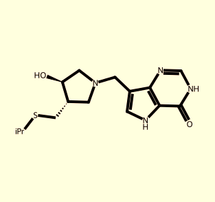 CC(C)SC[C@H]1CN(Cc2c[nH]c3c(=O)[nH]cnc23)C[C@@H]1O